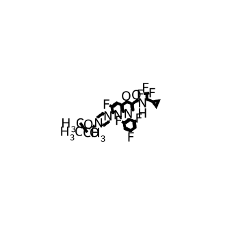 CC(C)(C)OC(=O)N1CCN(c2nc3c(cc2F)c(=O)c(C(=O)NC(C2CC2)C(F)(F)F)cn3-c2c(F)cc(F)cc2F)CC1